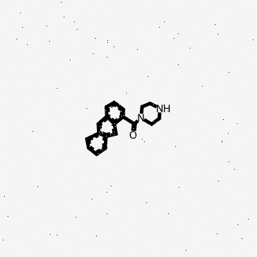 O=C(c1cccc2cc3ccccc3cc12)N1CCNCC1